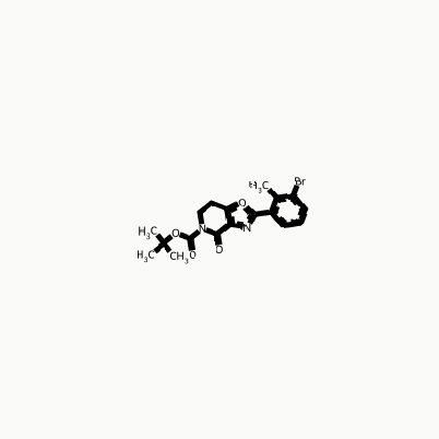 Cc1c(Br)cccc1-c1nc2c(o1)CCN(C(=O)OC(C)(C)C)C2=O